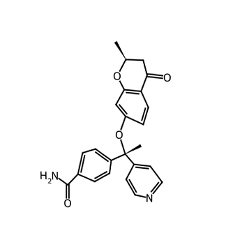 C[C@H]1CC(=O)c2ccc(O[C@](C)(c3ccncc3)c3ccc(C(N)=O)cc3)cc2O1